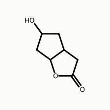 O=C1CC2CC(O)CC2O1